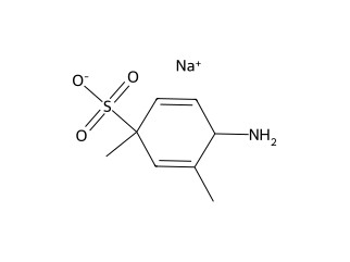 CC1=CC(C)(S(=O)(=O)[O-])C=CC1N.[Na+]